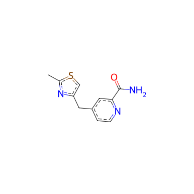 Cc1nc(Cc2ccnc(C(N)=O)c2)cs1